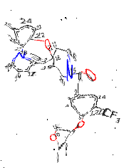 O=C(c1ccc(O[C@H]2CCOC2)c(C(F)(F)F)c1)N1CCC2(CC1)Oc1ccccc1-n1cccc12